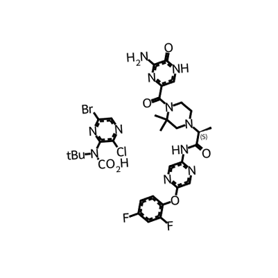 CC(C)(C)N(C(=O)O)c1nc(Br)cnc1Cl.C[C@@H](C(=O)Nc1cnc(Oc2ccc(F)cc2F)cn1)N1CCN(C(=O)c2c[nH]c(=O)c(N)n2)C(C)(C)C1